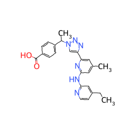 CCc1ccnc(Nc2cc(C)cc(-c3cn(C(C)c4ccc(C(=O)O)cc4)nn3)n2)c1